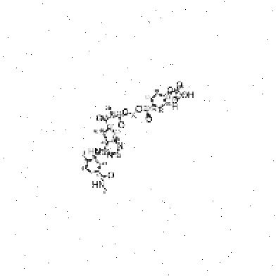 CNC(=O)c1ccc(C)c(Nc2ncnn3cc(C(=O)N(C)C(=O)OCOC(=O)c4ccc(OP(=O)(O)O)cc4)c(C)c23)c1